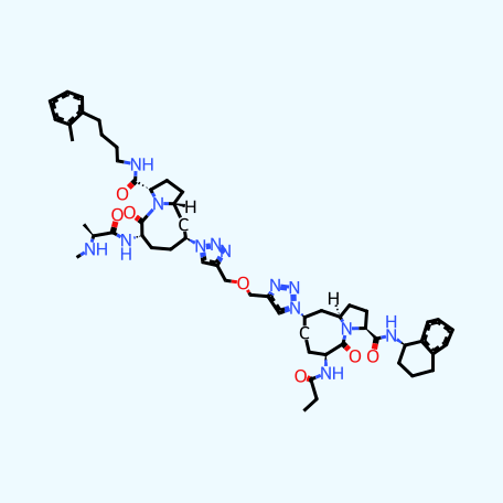 CCC(=O)N[C@H]1CC[C@H](n2cc(COCc3cn([C@H]4CC[C@H](NC(=O)[C@H](C)NC)C(=O)N5[C@H](CC[C@H]5C(=O)NCCCCc5ccccc5C)C4)nn3)nn2)C[C@H]2CC[C@@H](C(=O)N[C@@H]3CCCc4ccccc43)N2C1=O